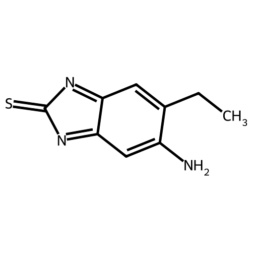 CCc1cc2c(cc1N)=NC(=S)N=2